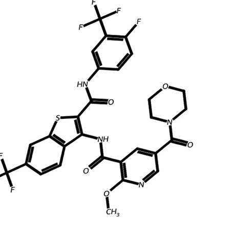 COc1ncc(C(=O)N2CCOCC2)cc1C(=O)Nc1c(C(=O)Nc2ccc(F)c(C(F)(F)F)c2)sc2cc(C(F)(F)F)ccc12